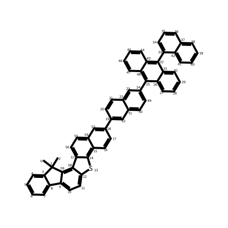 CC1(C)c2ccccc2-c2ccc3sc4c5ccc(-c6ccc7cc(-c8c9ccccc9c(-c9cccc%10ccccc9%10)c9ccccc89)ccc7c6)cc5ccc4c3c21